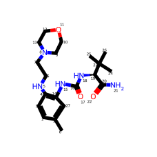 Cc1ccc(NCCN2CCOCC2)c(NC(=O)N[C@H](C(N)=O)C(C)(C)C)c1